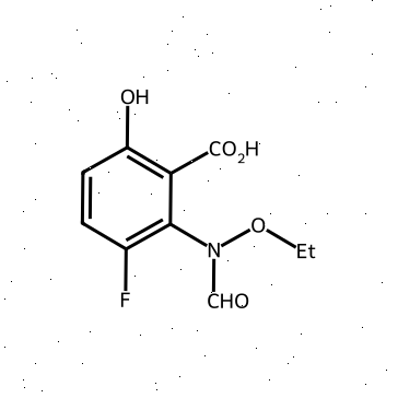 CCON(C=O)c1c(F)ccc(O)c1C(=O)O